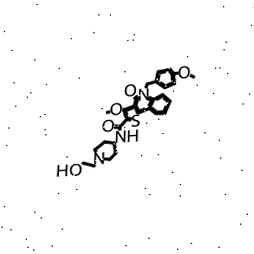 COc1ccc(Cn2c(=O)c3c(OC)c(C(=O)NC4CCN(CCO)CC4)sc3c3ccccc32)cc1